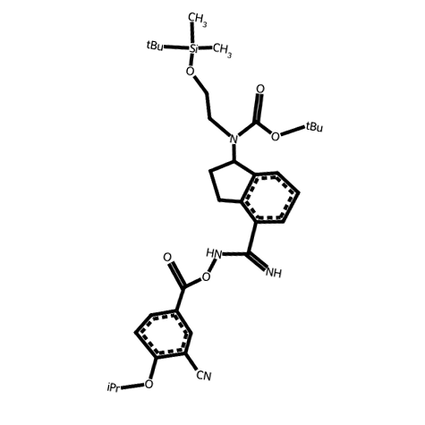 CC(C)Oc1ccc(C(=O)ONC(=N)c2cccc3c2CCC3N(CCO[Si](C)(C)C(C)(C)C)C(=O)OC(C)(C)C)cc1C#N